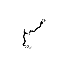 C#CCCCCOC(=O)CCCC(=O)O